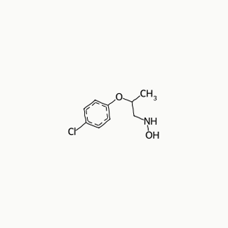 CC(CNO)Oc1ccc(Cl)cc1